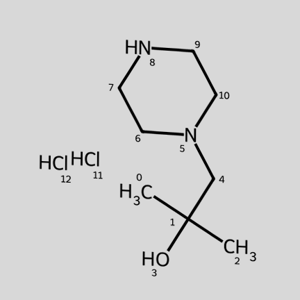 CC(C)(O)CN1CCNCC1.Cl.Cl